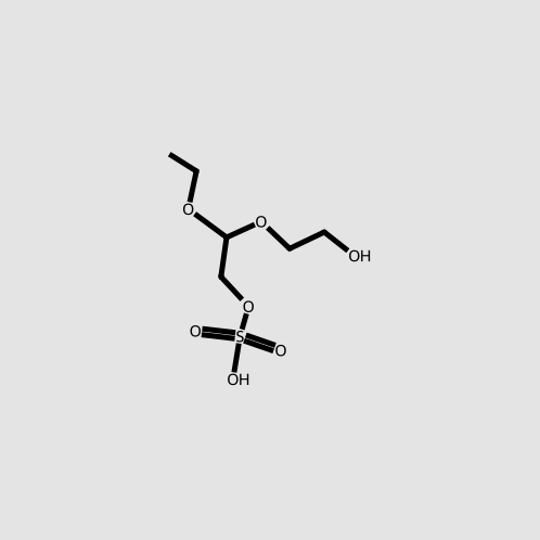 CCOC(COS(=O)(=O)O)OCCO